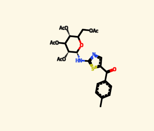 CC(=O)OCC1O[C@H](Nc2ncc(C(=O)c3ccc(C)cc3)s2)[C@H](OC(C)=O)C(OC(C)=O)[C@@H]1OC(C)=O